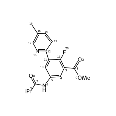 COC(=O)c1cc(NC(=O)C(C)C)cc(-c2ccc(C)cn2)c1F